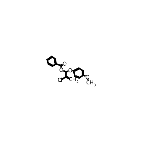 C=C(Cl)C(OC(=O)c1ccccc1)Oc1ccc(OC)cc1